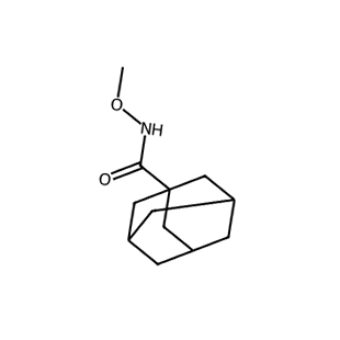 CONC(=O)C12CC3CC(CC(C3)C1)C2